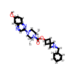 COc1ccc2nc(N3C[C@@H](C)N(C(=O)OC4CC5(C4)CN(Cc4ccccc4)C5)[C@@H](C)C3)cnc2c1